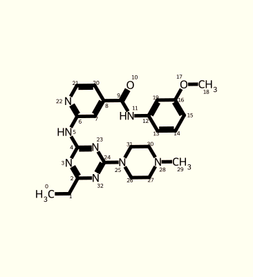 CCc1nc(Nc2cc(C(=O)Nc3cccc(OC)c3)ccn2)nc(N2CCN(C)CC2)n1